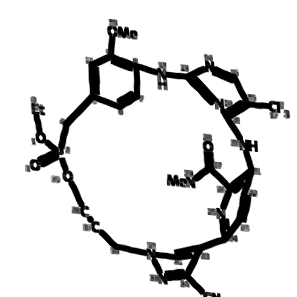 CCOP1(=O)Cc2ccc(c(OC)c2)Nc2ncc(C(F)(F)F)c(n2)Nc2ccc(nc2C(=O)NC)-c2cn(nc2C#N)CCCO1